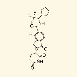 O=C1CCC(N2Cc3c(ccc(C(=O)NC(C4CCCC4)C(F)(F)F)c3F)C2=O)C(=O)N1